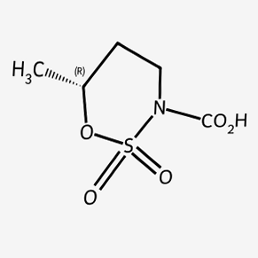 C[C@@H]1CCN(C(=O)O)S(=O)(=O)O1